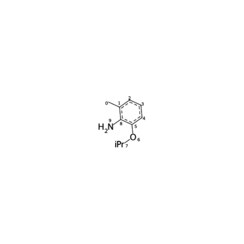 Cc1cccc(OC(C)C)c1N